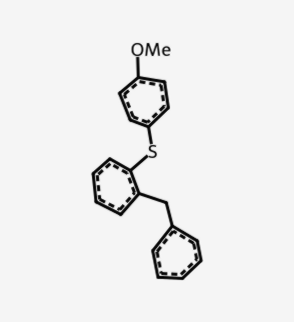 COc1ccc(Sc2ccccc2Cc2ccccc2)cc1